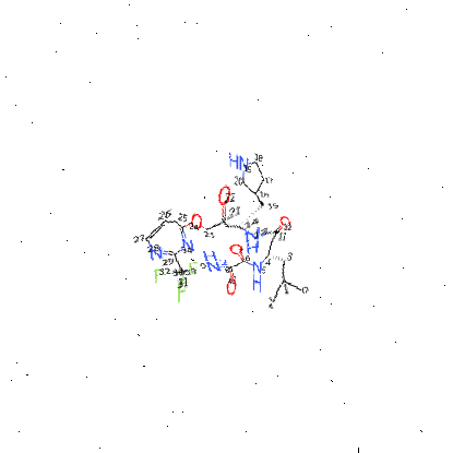 CC(C)C[C@H](NC(=O)C(N)=O)C(=O)N[C@@H](C[C@@H]1CCNC1)C(=O)COc1ccnc(C(F)(F)F)n1